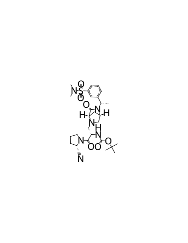 C[C@@H](c1cccc(S(=O)(=O)N(C)C)c1)N1C(=O)[C@@H]2C[C@H]1CN2C[C@H](NC(=O)OC(C)(C)C)C(=O)N1CCC[C@H]1C#N